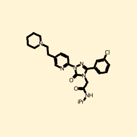 CC(C)NC(=O)Cn1c(-c2cccc(Cl)c2)nn(-c2ccc(CCN3CCCCC3)cn2)c1=O